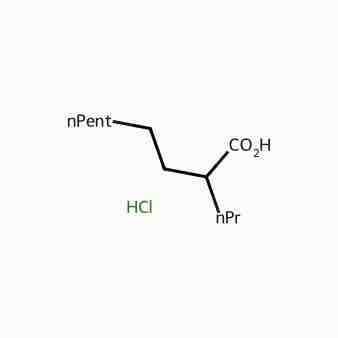 CCCCCCCC(CCC)C(=O)O.Cl